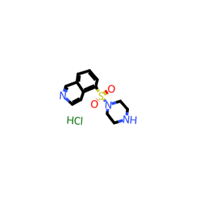 Cl.O=S(=O)(c1cccc2cnccc12)N1CCNCC1